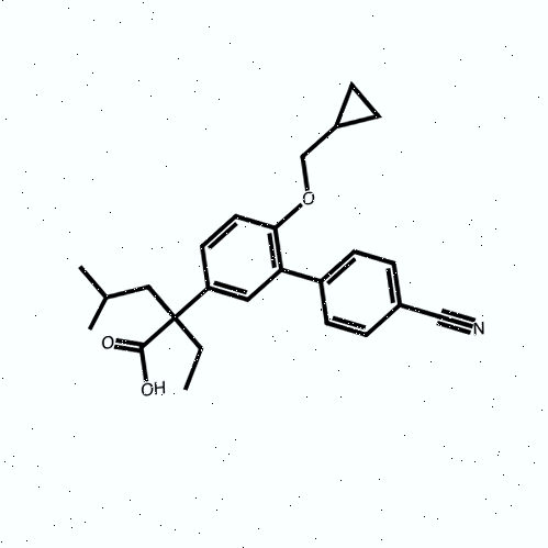 CCC(CC(C)C)(C(=O)O)c1ccc(OCC2CC2)c(-c2ccc(C#N)cc2)c1